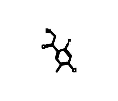 Cc1cc(C(=O)CBr)c(F)cc1Cl